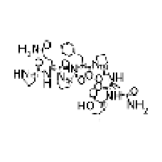 CC(C)C[C@H](NC(=O)[C@H](CCC(N)=O)NC(=O)[C@@H]1CCCN1C(=O)[C@H](Cc1ccccc1)NC(=O)[C@@H]1CCCN1C(=O)[C@H](CCC(N)=O)NC(=O)[C@@H]1CCCN1)C(=O)O